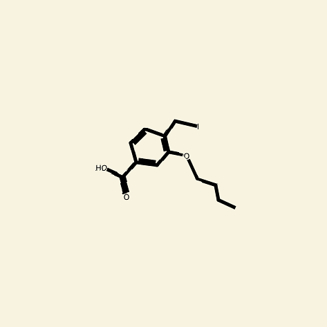 CCCCOc1cc(C(=O)O)ccc1CI